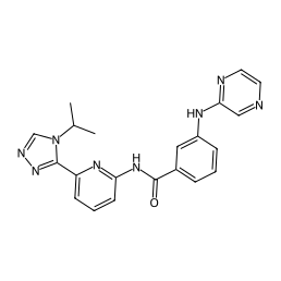 CC(C)n1cnnc1-c1cccc(NC(=O)c2cccc(Nc3cnccn3)c2)n1